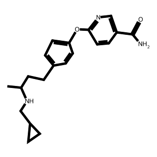 CC(CCc1ccc(Oc2ccc(C(N)=O)cn2)cc1)NCC1CC1